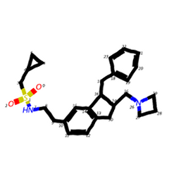 O=S(=O)(CC1CC1)NCCc1ccc2c(c1)C(Cc1ccccc1)C(CN1CCC1)C2